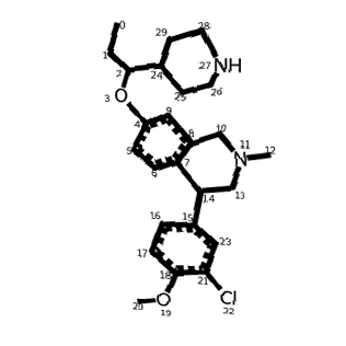 CCC(Oc1ccc2c(c1)CN(C)CC2c1ccc(OC)c(Cl)c1)C1CCNCC1